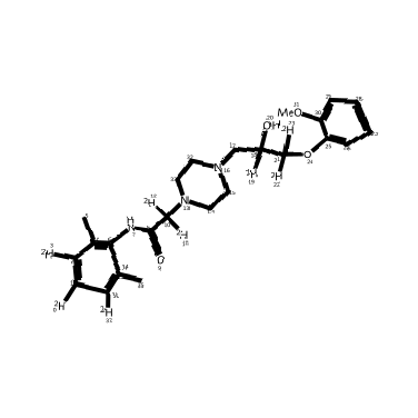 [2H]c1c([2H])c(C)c(NC(=O)C([2H])([2H])N2CCN(CC([2H])(O)C([2H])([2H])Oc3ccccc3OC)CC2)c(C)c1[2H]